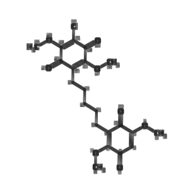 COC1=CC(=O)C(OC)=C(CCCCCC2=C(OC)C(=O)C(Cl)=C(OC)C2=O)C1=O